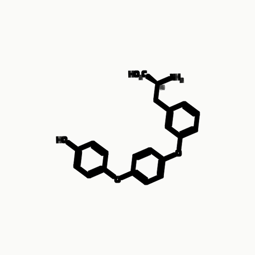 N[C@@H](Cc1cccc(Oc2ccc(Oc3ccc(O)cc3)cc2)c1)C(=O)O